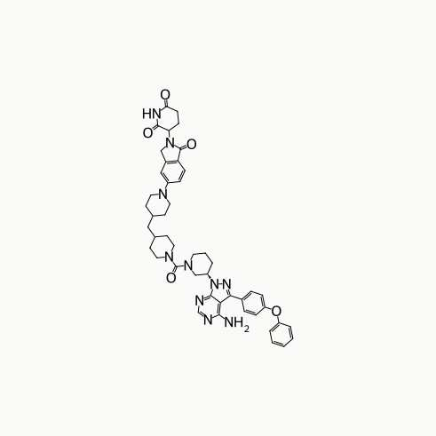 Nc1ncnc2c1c(-c1ccc(Oc3ccccc3)cc1)nn2[C@@H]1CCCN(C(=O)N2CCC(CC3CCN(c4ccc5c(c4)CN(C4CCC(=O)NC4=O)C5=O)CC3)CC2)C1